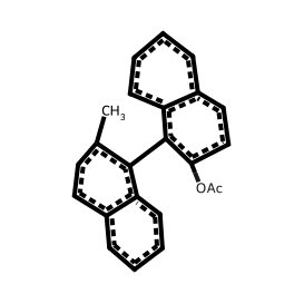 CC(=O)Oc1ccc2ccccc2c1-c1c(C)ccc2ccccc12